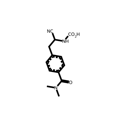 CN(C)C(=O)c1ccc(CC(C#N)NC(=O)O)cc1